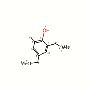 COCc1cc(C)c(O)c(COC)c1